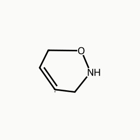 [C]1=CCONC1